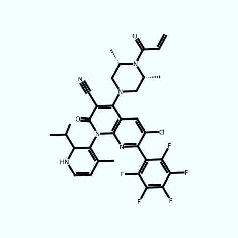 C=CC(=O)N1[C@H](C)CN(c2c(C#N)c(=O)n(C3=C(C)C=CNC3C(C)C)c3nc(-c4c(F)c(F)c(F)c(F)c4F)c(Cl)cc23)C[C@@H]1C